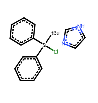 CC(C)(C)[Si](Cl)(c1ccccc1)c1ccccc1.c1c[nH]cn1